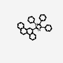 c1ccc(-c2nc(-c3cc4c5ccccc5ccc4c4ccccc34)n(-c3ccccc3)c2-c2ccccc2)cc1